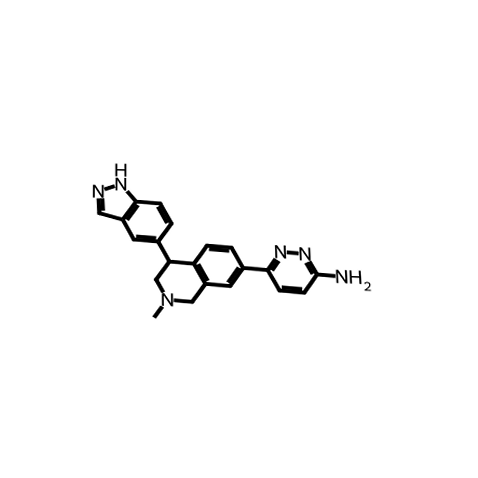 CN1Cc2cc(-c3ccc(N)nn3)ccc2C(c2ccc3[nH]ncc3c2)C1